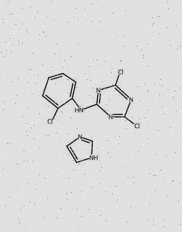 Clc1nc(Cl)nc(Nc2ccccc2Cl)n1.c1c[nH]cn1